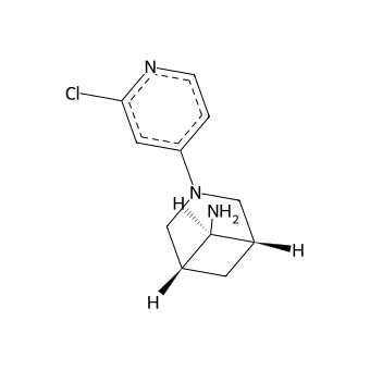 N[C@@H]1[C@@H]2C[C@H]1CN(c1ccnc(Cl)c1)C2